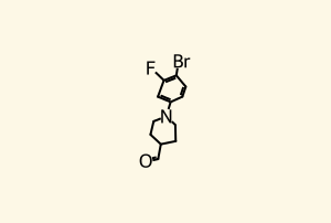 O=CC1CCN(c2ccc(Br)c(F)c2)CC1